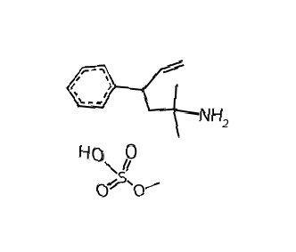 C=CC(CC(C)(C)N)c1ccccc1.COS(=O)(=O)O